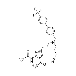 N#CCCCN(CCCn1cc(C(N)=O)c(NC(=O)C2CC2)n1)Cc1ccc(-c2ccc(C(F)(F)F)cc2)cc1